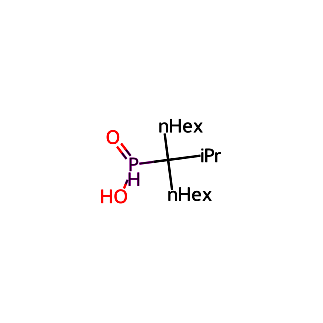 CCCCCCC(CCCCCC)(C(C)C)[PH](=O)O